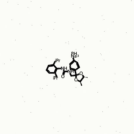 CC(C)c1cccc(C(C)C)c1NC(=O)NCC1(c2cc[c]([Na])cc2)O[C@H](C)[C@@H](C)O1.P